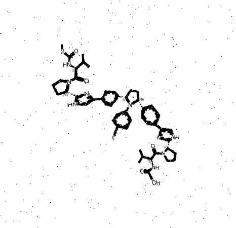 COC(=O)N[C@H](C(=O)N1CCC[C@H]1c1nc(-c2ccc([C@@H]3CC[C@H](c4ccc(-c5c[nH]c([C@@H]6CCCN6C(=O)[C@@H](NC(=O)O)C(C)C)n5)cc4)N3c3ccc(F)cc3)cc2)c[nH]1)C(C)C